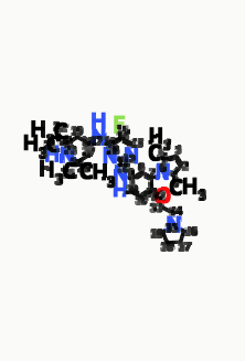 Cc1ccc(C)n1-c1cc(Nc2ncc(F)c(NC3CC(C)(C)NC(C)(C)C3)n2)ccc1OCCN1CCCC1